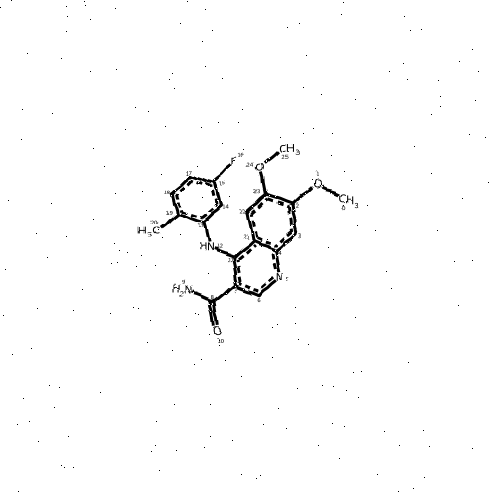 COc1cc2ncc(C(N)=O)c(Nc3cc(F)ccc3C)c2cc1OC